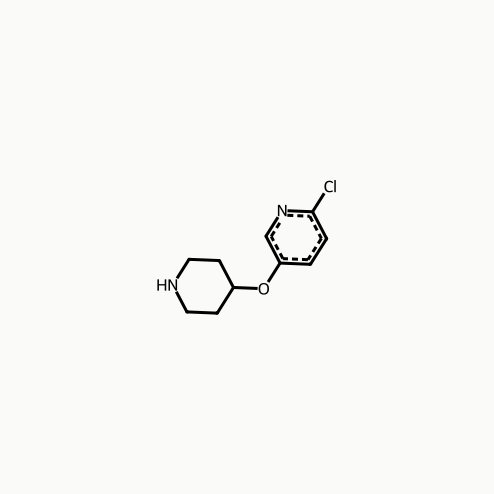 Clc1ccc(OC2CCNCC2)cn1